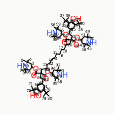 CC1(C)CC(OC(=O)C(CCCCCCCCCCCCC(CCc2cc(C(C)(C)C)c(O)c(C(C)(C)C)c2)(C(=O)OC2CC(C)(C)NC(C)(C)C2)C(=O)OC2CC(C)(C)NC(C)(C)C2)(CCc2cc(C(C)(C)C)c(O)c(C(C)(C)C)c2)C(=O)OC2CC(C)(C)NC(C)(C)C2)CC(C)(C)N1